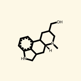 CN1CC(CO)CC2c3cccc4c3C(CN4)C[C@H]21